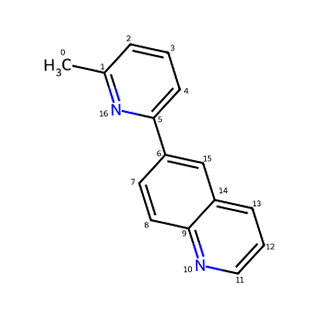 Cc1cccc(-c2ccc3ncccc3c2)n1